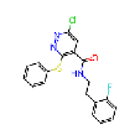 O=C(NCCc1ccccc1F)c1cc(Cl)nnc1Sc1ccccc1